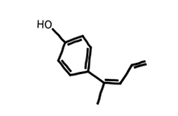 C=C/C=C(/C)c1ccc(O)cc1